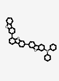 c1ccc(N(c2ccccc2)c2ccc3c(c2)oc2cc(-c4ccc5c(c4)oc4c(-c6ccc7c(c6)oc6ccccc67)cccc45)ccc23)cc1